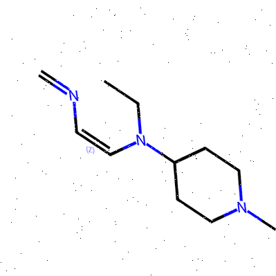 C=N/C=C\N(CC)C1CCN(C)CC1